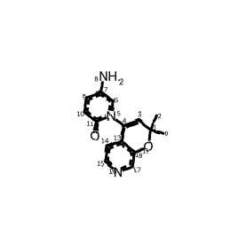 CC1(C)C=C(n2cc(N)ccc2=O)c2ccncc2O1